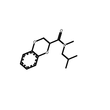 CC(C)CN(C)C(=O)C1COc2ccccc2O1